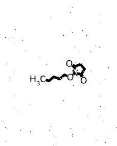 CCCCCON1C(=O)CCC1=O